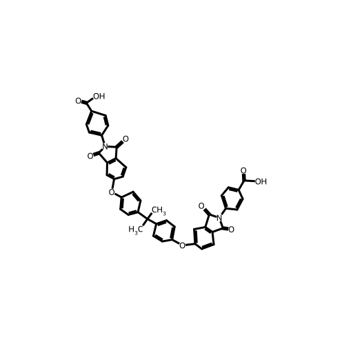 CC(C)(c1ccc(Oc2ccc3c(c2)C(=O)N(c2ccc(C(=O)O)cc2)C3=O)cc1)c1ccc(Oc2ccc3c(c2)C(=O)N(c2ccc(C(=O)O)cc2)C3=O)cc1